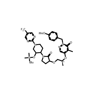 COc1ccc(Cn2ncc(O[C@@H](C)COC3CCN(C4CCN(c5ncc(C(F)(F)F)cn5)CC4O[Si](C)(C)C(C)(C)C)C3=O)c(C)c2=O)cc1